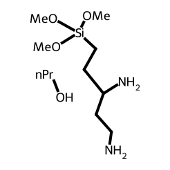 CO[Si](CCC(N)CCN)(OC)OC.[CH2]CCO